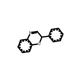 C1=Nc2ccccc2OC1c1ccccc1